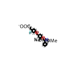 CON=C(COc1ccc(COc2ccc(CCC(=O)[O-])c(F)c2)cc1OC)c1ccccc1.[Na+]